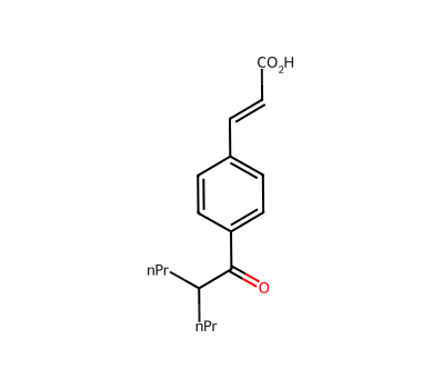 CCCC(CCC)C(=O)c1ccc(/C=C/C(=O)O)cc1